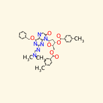 Cc1ccc(C(=O)OC[C@H]2O[C@@H](n3c(=O)cnc4c(OCc5ccccc5)nc(/N=C/N(C)C)nc43)C[C@@H]2OC(=O)c2ccc(C)cc2)cc1